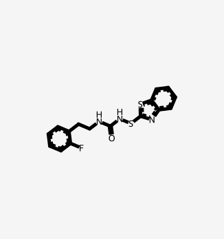 O=C(NCCc1ccccc1F)NSc1nc2ccccc2s1